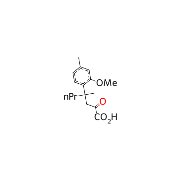 CCCC(C)(CC(=O)C(=O)O)c1ccc(C)cc1OC